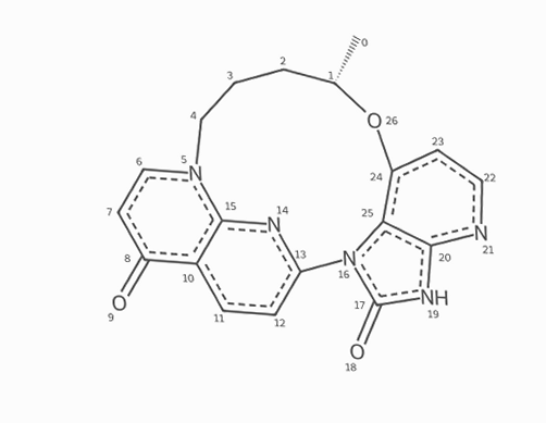 C[C@H]1CCCn2ccc(=O)c3ccc(nc32)-n2c(=O)[nH]c3nccc(c32)O1